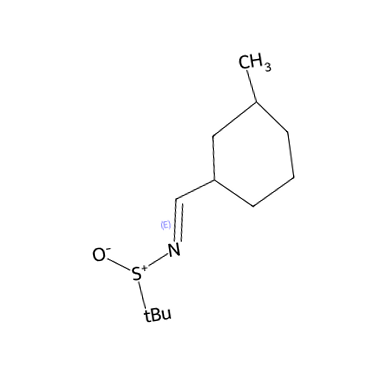 CC1CCCC(/C=N/[S+]([O-])C(C)(C)C)C1